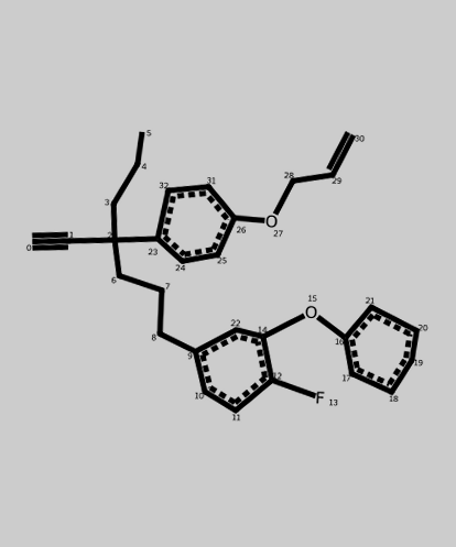 C#CC(CCC)(CCCc1ccc(F)c(Oc2ccccc2)c1)c1ccc(OCC=C)cc1